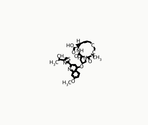 COc1ccc2c(O[C@@H]3C[C@H]4C(=O)N[C@]5(C(=O)O)C[C@H]5/C=C\CCCCN(C)C(=O)N4C3)cc(-c3nc(C(C)C)cs3)nc2c1